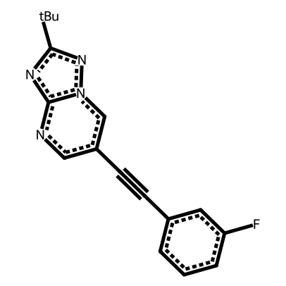 CC(C)(C)c1nc2ncc(C#Cc3cccc(F)c3)cn2n1